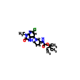 Cn1c(=O)[nH]c2c(N3CCCC(NC(=O)OC(C)(C)C)C3)cc(Cl)nc21